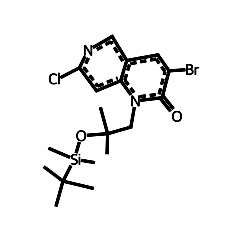 CC(C)(Cn1c(=O)c(Br)cc2cnc(Cl)cc21)O[Si](C)(C)C(C)(C)C